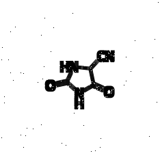 N#CC1NC(=O)NC1=O